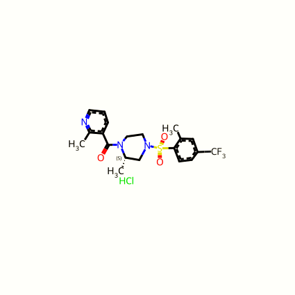 Cc1cc(C(F)(F)F)ccc1S(=O)(=O)N1CCN(C(=O)c2cccnc2C)[C@@H](C)C1.Cl